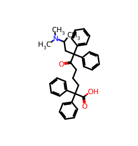 CC(CC(C(=O)CCCC(C(=O)O)(c1ccccc1)c1ccccc1)(c1ccccc1)c1ccccc1)N(C)C